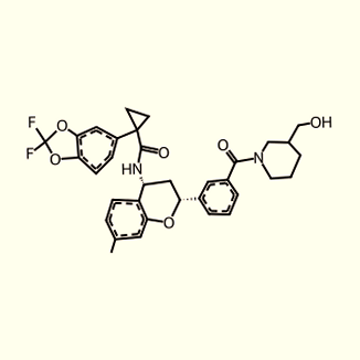 Cc1ccc2c(c1)O[C@@H](c1cccc(C(=O)N3CCCC(CO)C3)c1)C[C@H]2NC(=O)C1(c2ccc3c(c2)OC(F)(F)O3)CC1